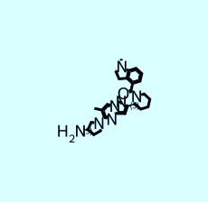 Cc1cn2nc([C@@H]3CCCCN3C(=O)c3cccc4c3CCN4C)cc2nc1N1CC[C@H](N)C1